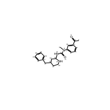 CC(=O)c1cccc(N(C)C(=O)NC2CC(Cc3ccccc3)CCN2)c1